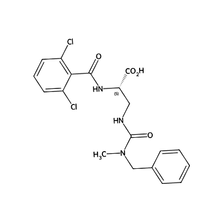 CN(Cc1ccccc1)C(=O)NC[C@H](NC(=O)c1c(Cl)cccc1Cl)C(=O)O